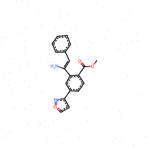 COC(=O)c1ccc(-c2ccon2)cc1C(N)=Cc1ccccc1